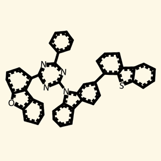 c1ccc(-c2nc(-c3cccc4oc5ccccc5c34)nc(-n3c4ccccc4c4ccc(-c5cccc6c5sc5ccccc56)cc43)n2)cc1